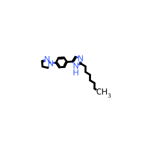 CCCCCCCc1ncc(-c2ccc(N3CCC=N3)cc2)[nH]1